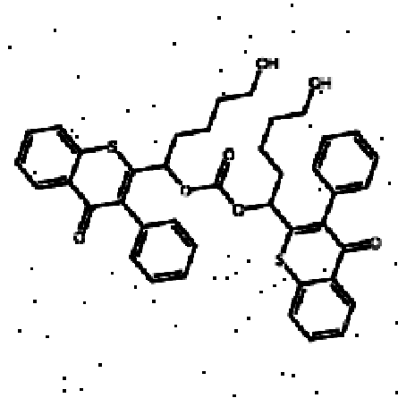 O=C(OC(CCCCO)c1sc2ccccc2c(=O)c1-c1ccccc1)OC(CCCCO)c1sc2ccccc2c(=O)c1-c1ccccc1